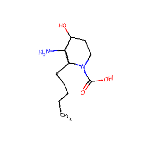 CCCCC1C(N)C(O)CCN1C(=O)O